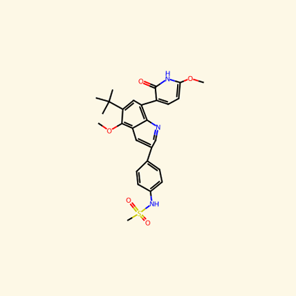 COc1ccc(-c2cc(C(C)(C)C)c(OC)c3cc(-c4ccc(NS(C)(=O)=O)cc4)cnc23)c(=O)[nH]1